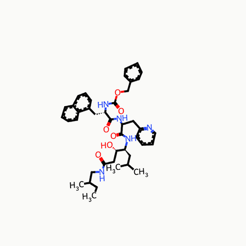 CCC(C)CNC(=O)C[C@H](O)[C@H](CC(C)C)NC(=O)C(Cc1ccccn1)NC(=O)[C@H](Cc1cccc2ccccc12)NC(=O)OCc1ccccc1